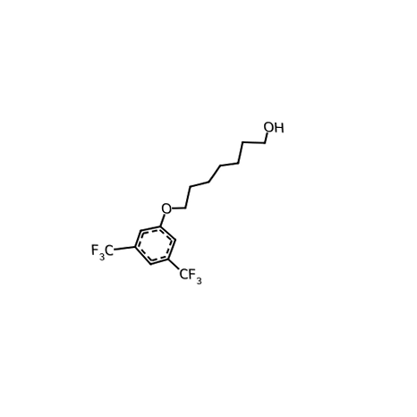 OCCCCCCCOc1cc(C(F)(F)F)cc(C(F)(F)F)c1